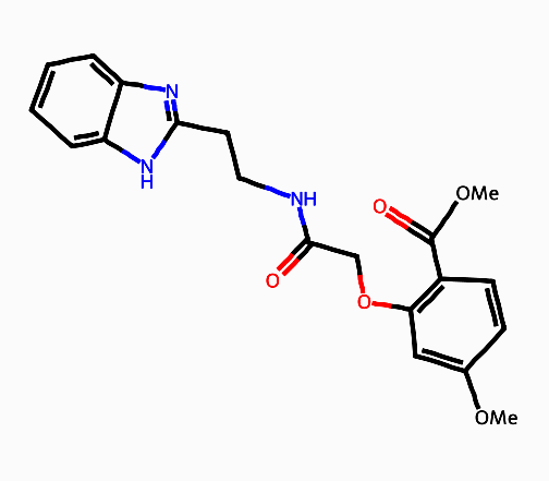 COC(=O)c1ccc(OC)cc1OCC(=O)NCCc1nc2ccccc2[nH]1